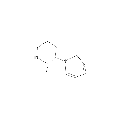 CC1NCCCC1N1C=CC=NC1